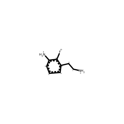 NCCc1cccc(N)c1F